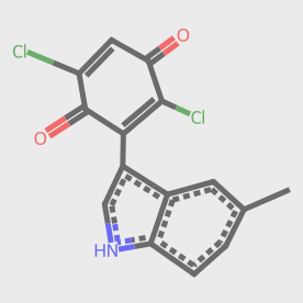 Cc1ccc2[nH]cc(C3=C(Cl)C(=O)C=C(Cl)C3=O)c2c1